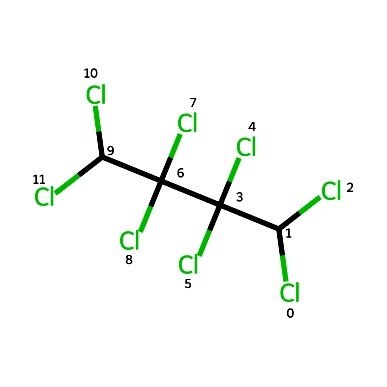 ClC(Cl)C(Cl)(Cl)C(Cl)(Cl)C(Cl)Cl